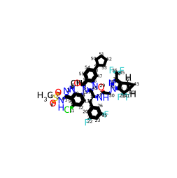 Cn1nc(NS(C)(=O)=O)c2c(Cl)ccc(-n3c([C@H](Cc4cc(F)cc(F)c4)NC(=O)Cn4nc(C(F)F)c5c4C(F)(F)[C@@H]4C[C@H]54)nc4cc(C5CCCC5)ccc4c3=O)c21